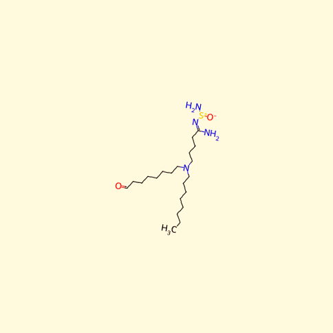 CCCCCCCCN(CCCCCCCC=O)CCCC/C(N)=N/[S+](N)[O-]